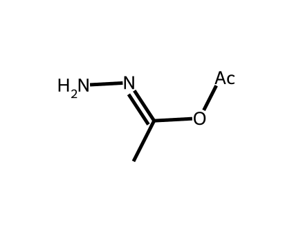 CC(=O)OC(C)=NN